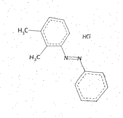 Cc1cccc(N=Nc2ccccc2)c1C.Cl